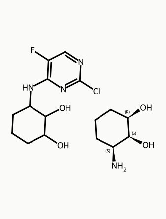 N[C@H]1CCC[C@@H](O)[C@H]1O.OC1CCCC(Nc2nc(Cl)ncc2F)C1O